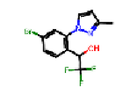 Cc1ccn(-c2cc(Br)ccc2C(O)C(F)(F)F)n1